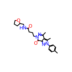 Cc1ccc(-n2nc3c(=O)n(CCCC(=O)NCC4CCCO4)nc(C)c3c2C)cc1